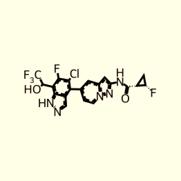 O=C(Nc1cc2cc(-c3c(Cl)c(F)c(C(O)C(F)(F)F)c4[nH]ncc34)ccn2n1)[C@@H]1C[C@@H]1F